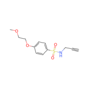 C#CCNS(=O)(=O)c1ccc(OCCOC)cc1